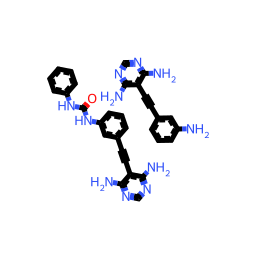 Nc1cccc(C#Cc2c(N)ncnc2N)c1.Nc1ncnc(N)c1C#Cc1cccc(NC(=O)Nc2ccccc2)c1